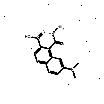 CN(C)c1ccc2ccc(C(=O)O)c(C(=O)NN)c2c1